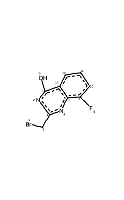 Oc1nc(CBr)nc2c(F)cccc12